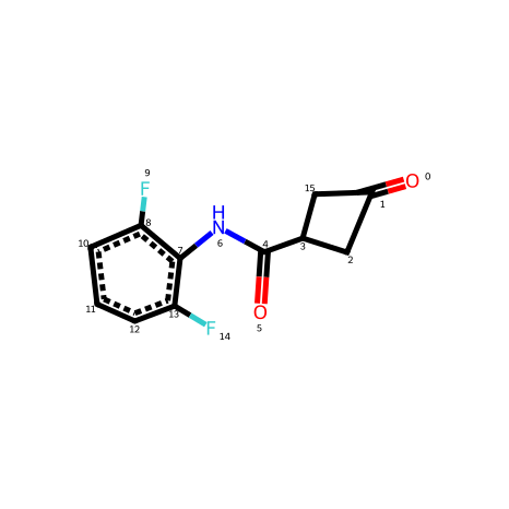 O=C1CC(C(=O)Nc2c(F)[c]ccc2F)C1